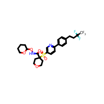 O=C(NOC1CCCCO1)C1(S(=O)(=O)c2ccc(-c3ccc(CCC(F)(F)C(F)(F)F)cc3)nc2)CCOCC1